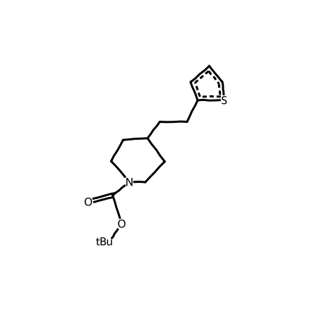 CC(C)(C)OC(=O)N1CCC(CCc2cccs2)CC1